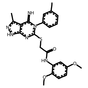 COc1ccc(OC)c(NC(=O)CSc2nc3[nH]nc(C)c3c(=N)n2-c2cccc(C)c2)c1